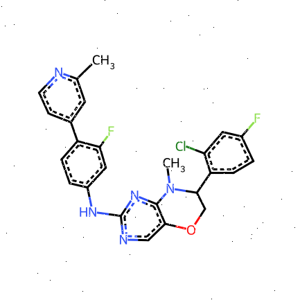 Cc1cc(-c2ccc(Nc3ncc4c(n3)N(C)C(c3ccc(F)cc3Cl)CO4)cc2F)ccn1